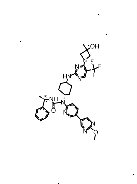 COc1ncc(-c2ccc(N(C(=O)N[C@H](C)c3ccccc3)[C@H]3CC[C@H](Nc4ncc(C(F)(F)F)c(N5CC(C)(O)C5)n4)CC3)nc2)cn1